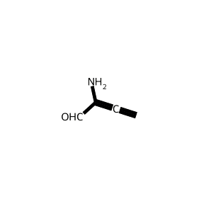 C=C=C(N)C=O